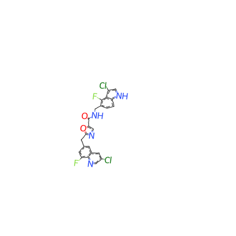 O=C(NCc1ccc2[nH]cc(Cl)c2c1F)c1cnc(Cc2cc(F)c3ncc(Cl)cc3c2)o1